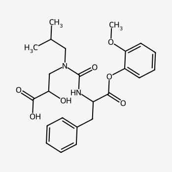 COc1ccccc1OC(=O)C(Cc1ccccc1)NC(=O)N(CC(C)C)CC(O)C(=O)O